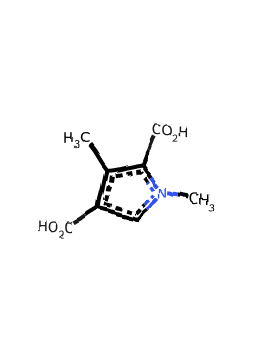 Cc1c(C(=O)O)cn(C)c1C(=O)O